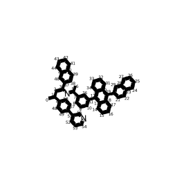 C=C(/C=C(\N=C(/C)c1cccc(-c2c3ccccc3c(-c3ccc4ccccc4c3)c3ccccc23)c1)c1ccc2ccccc2c1)c1ccc(-c2cccnc2)cc1